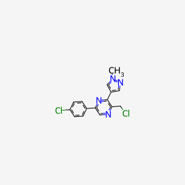 Cn1cc(-c2nc(-c3ccc(Cl)cc3)cnc2CCl)cn1